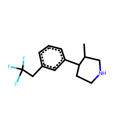 CC1CNCCC1c1cccc(CC(F)(F)F)c1